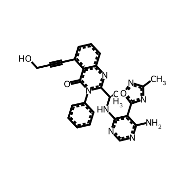 Cc1noc(-c2c(N)ncnc2N[C@@H](C)c2nc3cccc(C#CCO)c3c(=O)n2-c2ccccc2)n1